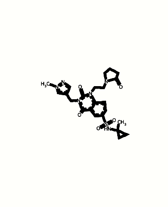 Cn1cc(Cn2c(=O)c3cc(S(=O)(=O)NC4(C)CC4)ccc3n(CCN3CCCC3=O)c2=O)cn1